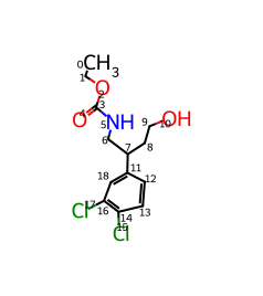 CCOC(=O)NCC(CCO)c1ccc(Cl)c(Cl)c1